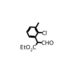 CCOC(=O)C(C=O)c1cccc(C)c1Cl